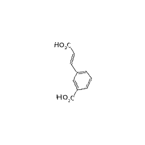 O=C(O)/C=C/c1cccc(C(=O)O)c1